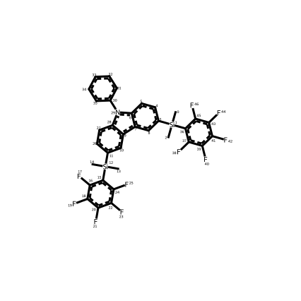 C[Si](C)(c1ccc2c(c1)c1cc([Si](C)(C)c3c(F)c(F)c(F)c(F)c3F)ccc1n2-c1ccccc1)c1c(F)c(F)c(F)c(F)c1F